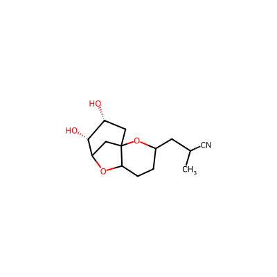 CC(C#N)CC1CCC2OC3CC2(C[C@@H](O)[C@H]3O)O1